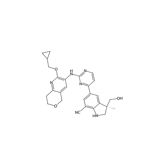 C[C@]1(CO)CNc2c(C#N)cc(-c3ccnc(Nc4cc5c(nc4OCC4CC4)CCOC5)n3)cc21